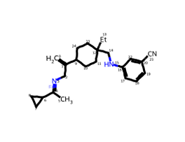 C=C(C/N=C(\C)C1CC1)C1CCC(CC)(CNc2cccc(C#N)c2)CC1